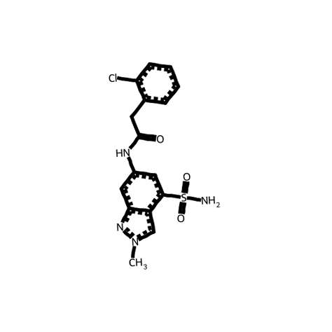 Cn1cc2c(S(N)(=O)=O)cc(NC(=O)Cc3ccccc3Cl)cc2n1